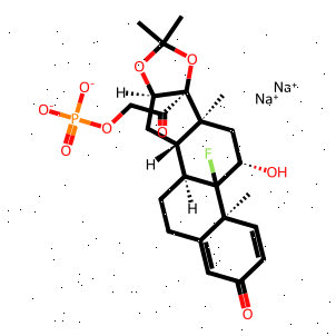 CC1(C)O[C@@H]2C[C@H]3[C@@H]4CCC5=CC(=O)C=C[C@]5(C)C4(F)[C@@H](O)C[C@]3(C)[C@]2(C(=O)COP(=O)([O-])[O-])O1.[Na+].[Na+]